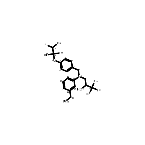 OC(CN(Cc1ccc(OC(F)(F)C(F)F)cc1)c1cccc(CBr)c1)C(F)(F)F